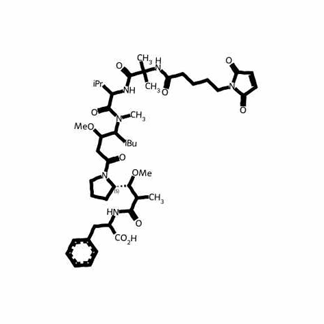 CCC(C)C(C(CC(=O)N1CCC[C@H]1C(OC)C(C)C(=O)NC(Cc1ccccc1)C(=O)O)OC)N(C)C(=O)C(NC(=O)C(C)(C)NC(=O)CCCCN1C(=O)C=CC1=O)C(C)C